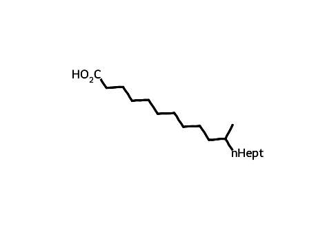 CCCCCCCC(C)CCCCCCCCCC(=O)O